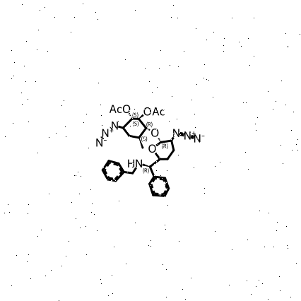 CC(=O)O[C@H]1[C@H](O[C@H]2OC([C@H](NCc3ccccc3)c3ccccc3)CCC2N=[N+]=[N-])[C@@H](C)CC(N=[N+]=[N-])[C@@H]1OC(C)=O